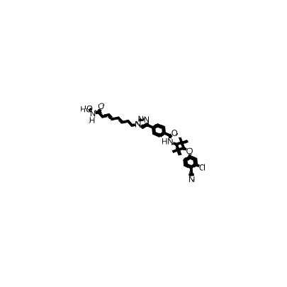 CC1(C)C(NC(=O)c2ccc(-c3cn(CCCCCCCC(=O)NO)nn3)cc2)C(C)(C)C1Oc1ccc(C#N)c(Cl)c1